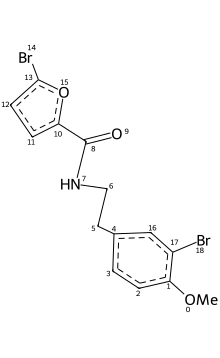 COc1ccc(CCNC(=O)c2ccc(Br)o2)cc1Br